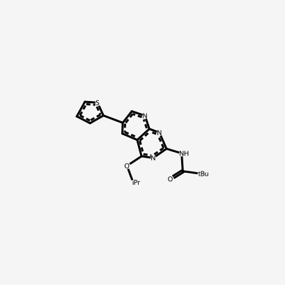 CC(C)Oc1nc(NC(=O)C(C)(C)C)nc2ncc(-c3cccs3)cc12